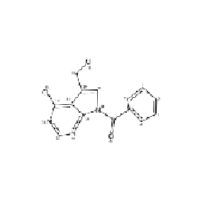 O=C(c1ccccc1)n1cc(CCl)c2c(Cl)ncnc21